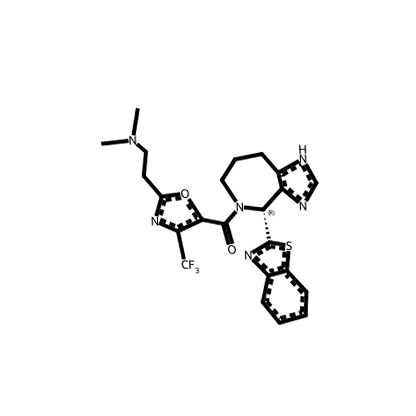 CN(C)CCc1nc(C(F)(F)F)c(C(=O)N2CCCc3[nH]cnc3[C@@H]2c2nc3ccccc3s2)o1